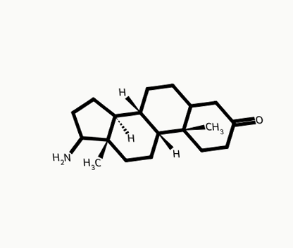 C[C@]12CCC(=O)CC1CC[C@@H]1[C@H]2CC[C@]2(C)C(N)CC[C@@H]12